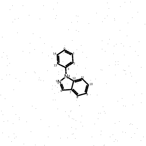 [c]1ccc(-n2ncc3ccccc32)cc1